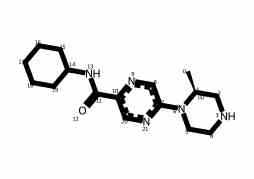 C[C@H]1CNCCN1c1cnc(C(=O)NC2CCCCC2)cn1